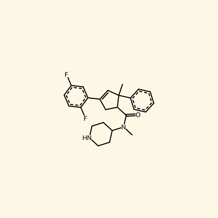 CN(C(=O)C1CC(c2cc(F)ccc2F)=CC1(C)c1ccccc1)C1CCNCC1